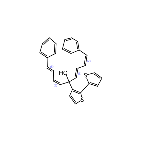 OC(/C=C\C=C\c1ccccc1)(/C=C/C=C\c1ccccc1)c1ccsc1-c1cccs1